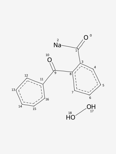 O=[C]([Na])c1ccccc1C(=O)c1ccccc1.OO